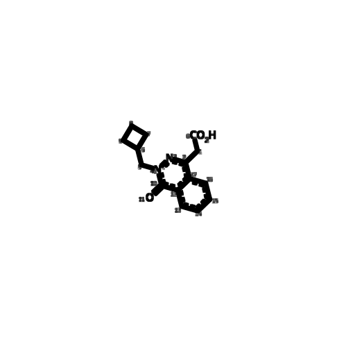 O=C(O)Cc1nn(CC2CCC2)c(=O)c2ccccc12